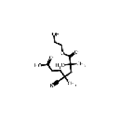 CC(C#N)(CCC(=O)O)CC(C)(C)C(=O)OCCO